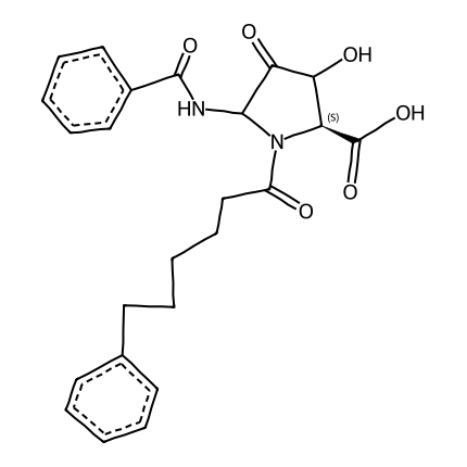 O=C(NC1C(=O)C(O)[C@@H](C(=O)O)N1C(=O)CCCCCc1ccccc1)c1ccccc1